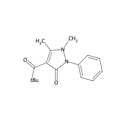 Cc1c(C(=O)C(C)(C)C)c(=O)n(-c2ccccc2)n1C